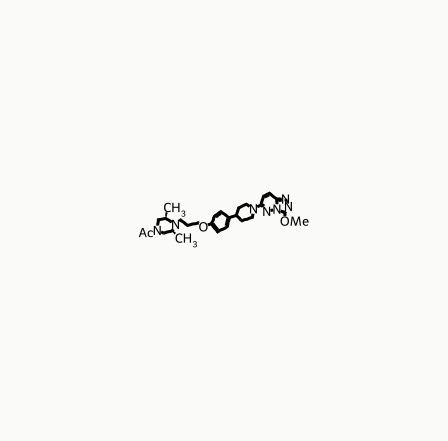 COc1nnc2ccc(N3CCC(c4ccc(OCCCN5[C@H](C)CN(C(C)=O)C[C@@H]5C)cc4)CC3)nn12